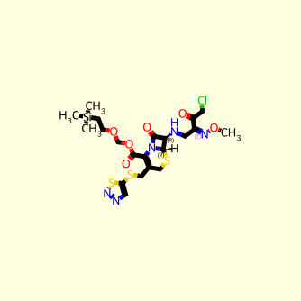 CO/N=C(/CN[C@@H]1C(=O)N2C(C(=O)OCOCC[Si](C)(C)C)=C(CSc3cnns3)CS[C@H]12)C(=O)CCl